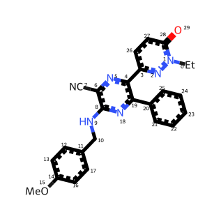 CCn1nc(-c2nc(C#N)c(NCc3ccc(OC)cc3)nc2-c2ccccc2)ccc1=O